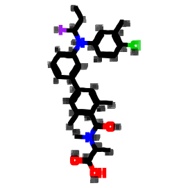 CCC(I)N(c1cccc(-c2cc(C)c(C(=O)N(C)C(C)C(=O)O)c(C)c2)c1)c1ccc(Cl)c(C)c1